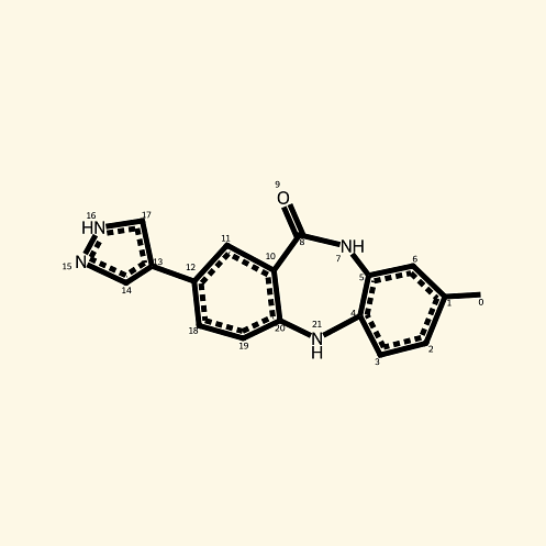 Cc1ccc2c(c1)NC(=O)c1cc(-c3cn[nH]c3)ccc1N2